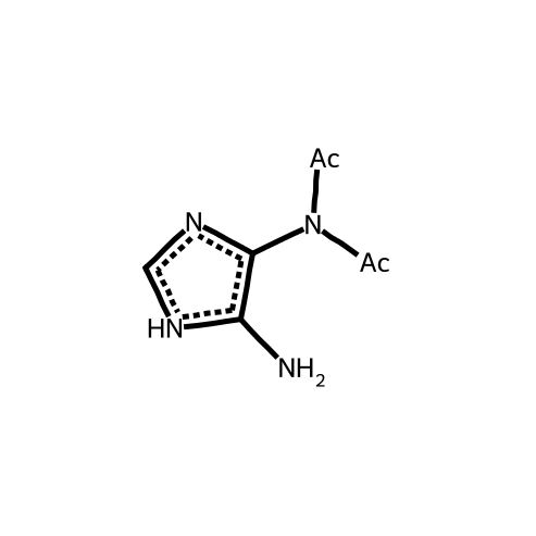 CC(=O)N(C(C)=O)c1nc[nH]c1N